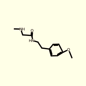 CNCC(=O)NCCc1ccc(OC)cc1